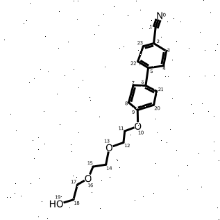 N#Cc1ccc(-c2ccc(OCCOCCOCCO)cc2)cc1